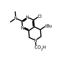 CN(C)c1nc(Cl)c2c(n1)CN(C(=O)O)CC2C(C)(C)C